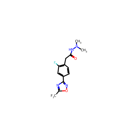 CN(C)NC(=O)Cc1ccc(-c2noc(C(F)(F)F)n2)cc1F